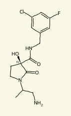 CC(CN)N1CC[C@](O)(C(=O)NCc2cc(F)cc(Cl)c2)C1=O